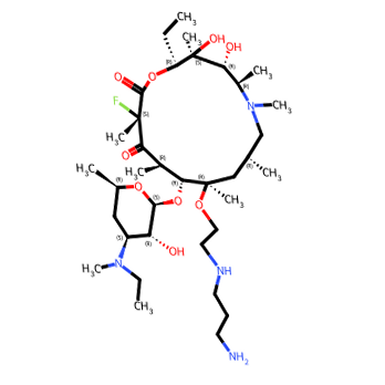 CC[C@H]1OC(=O)[C@@](C)(F)C(=O)[C@H](C)[C@@H](O[C@@H]2O[C@H](C)C[C@H](N(C)CC)[C@H]2O)[C@](C)(OCCNCCCN)C[C@@H](C)CN(C)[C@H](C)[C@@H](O)[C@]1(C)O